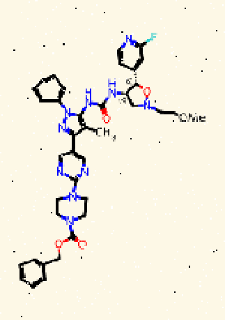 COCCN1C[C@@H](NC(=O)Nc2c(C)c(-c3cnc(N4CCN(C(=O)OCc5ccccc5)CC4)nc3)nn2-c2ccccc2)[C@H](c2ccnc(F)c2)O1